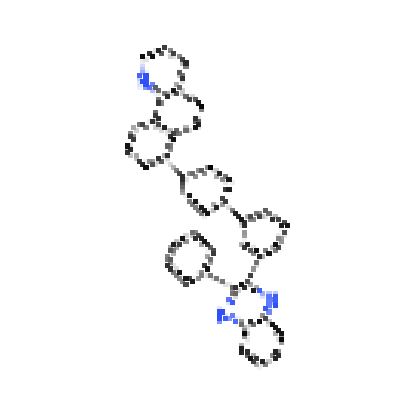 c1ccc(-c2nc3ccccc3nc2-c2cccc(-c3ccc(-c4cccc5c4ccc4cccnc45)cc3)c2)cc1